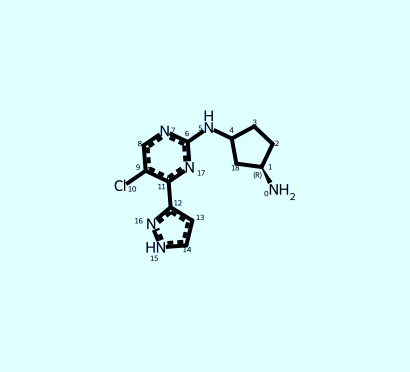 N[C@@H]1CCC(Nc2ncc(Cl)c(-c3cc[nH]n3)n2)C1